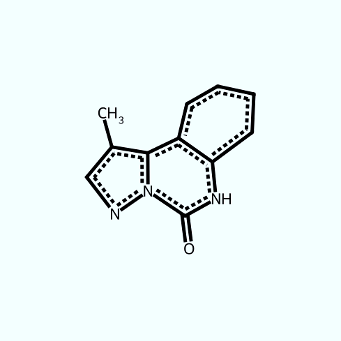 Cc1cnn2c(=O)[nH]c3ccccc3c12